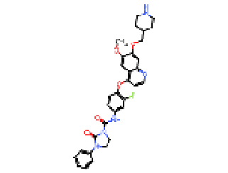 COc1cc2c(Oc3ccc(NC(=O)N4CCN(c5ccccc5)C4=O)cc3F)ccnc2cc1OCC1CCNCC1